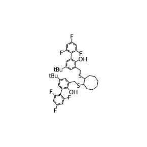 CC(C)(C)c1cc(CSC2CCCCCCC2SCc2cc(C(C)(C)C)cc(-c3c(F)cc(F)cc3F)c2O)c(O)c(-c2c(F)cc(F)cc2F)c1